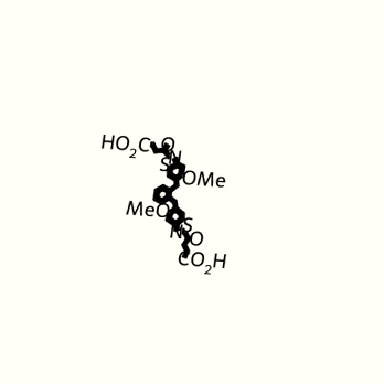 COc1cc2nc(C(=O)CCC(=O)O)sc2cc1Cc1ccccc1Cc1cc2sc(C(=O)CCC(=O)O)nc2cc1OC